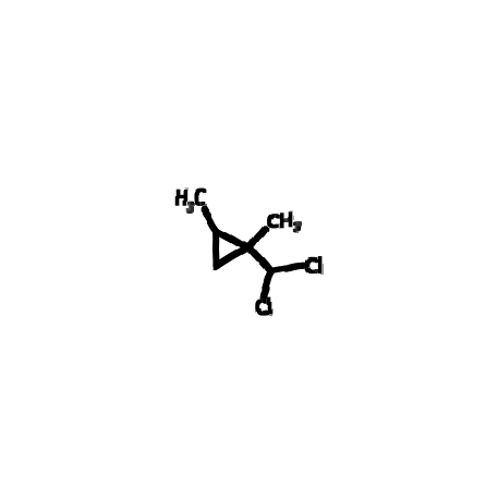 CC1CC1(C)[C](Cl)Cl